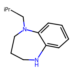 CC(C)CN1CCCNc2ccccc21